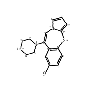 Clc1ccc2c(c1)C(N1CCNCC1)=Cn1cccc1S2